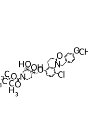 COc1ccc(CN2C(=O)CCc3c(OC[C@@]4(O)CCN(C(=O)OC(C)(C)C)C[C@@H]4O)ccc(Cl)c32)cc1